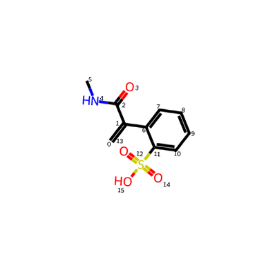 C=C(C(=O)NC)c1ccccc1S(=O)(=O)O